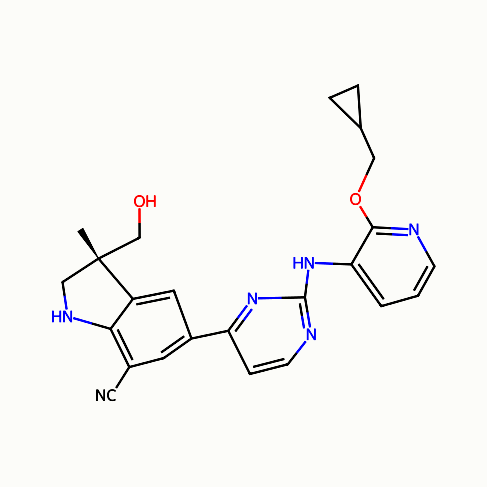 C[C@]1(CO)CNc2c(C#N)cc(-c3ccnc(Nc4cccnc4OCC4CC4)n3)cc21